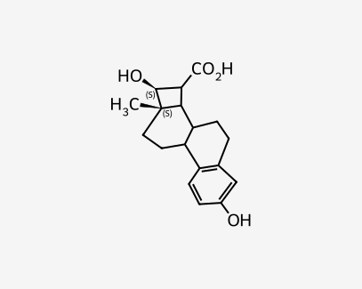 C[C@]12CCC3c4ccc(O)cc4CCC3C1C(C(=O)O)[C@@H]2O